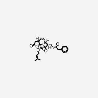 CC(C)=CCOC(=O)[C@]12OC(=O)C[C@H]1CS[C@@H]1[C@H](CNC(=O)Cc3ccccc3)C(=O)N12